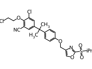 CC(C)S(=O)(=O)c1nc(COc2ccc(C(C)(C)c3cc(Cl)c(OCCCl)c(C#N)c3)cc2)co1